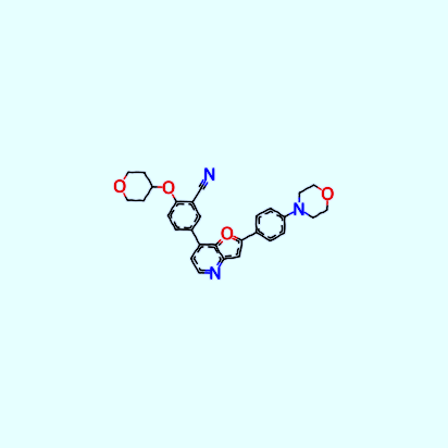 N#Cc1cc(-c2ccnc3cc(-c4ccc(N5CCOCC5)cc4)oc23)ccc1OC1CCOCC1